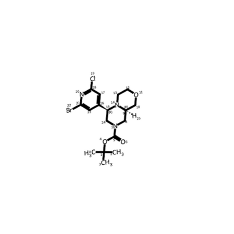 CC(C)(C)OC(=O)N1C[C@@H]2COCCN2[C@H](c2cc(Cl)nc(Br)c2)C1